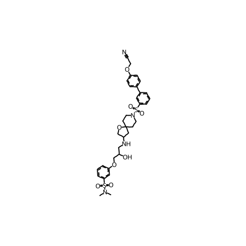 CN(C)S(=O)(=O)c1cccc(OCC(O)CNC2COC3(CCN(S(=O)(=O)c4cccc(-c5ccc(OCC#N)cc5)c4)CC3)C2)c1